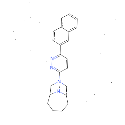 CN1C2CCCCC1CN(c1ccc(-c3ccc4ccccc4c3)nn1)C2